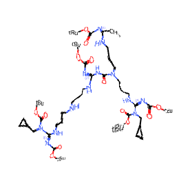 C/C(=N/C(=O)OC(C)(C)C)NCCCN(CCCN/C(=N/C(=O)OC(C)(C)C)N(CC1CC1)C(=O)OC(C)(C)C)C(=O)N/C(=N\C(=O)OC(C)(C)C)NCCCNCCCN/C(=N\C(=O)OC(C)(C)C)N(CC1CC1)C(=O)OC(C)(C)C